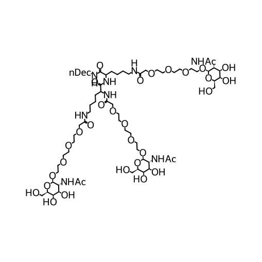 CCCCCCCCCCNC(=O)C(CCCCNC(=O)COCCOCCOCCO[C@@H]1O[C@H](CO)[C@H](O)[C@H](O)[C@H]1NC(C)=O)NC(=O)C(CCCCNC(=O)COCCOCCOCCO[C@@H]1O[C@H](CO)[C@H](O)[C@H](O)[C@H]1NC(C)=O)NC(=O)COCCOCCOCCO[C@@H]1O[C@H](CO)[C@H](O)[C@H](O)[C@H]1NC(C)=O